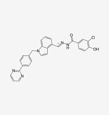 O=C(N/N=C/c1cccc2c1ccn2Cc1ccc(-c2ncccn2)cc1)c1ccc(O)c(Cl)c1